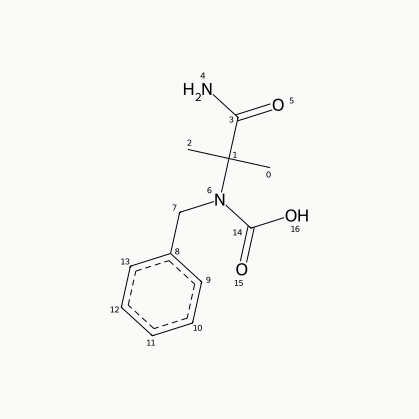 CC(C)(C(N)=O)N(Cc1ccccc1)C(=O)O